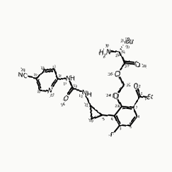 CCC(=O)c1ccc(F)c(C2CC2NC(=O)Nc2ccc(C#N)cn2)c1OCOC(=O)[C@@H](N)[C@@H](C)CC